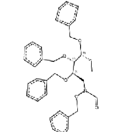 CC[C@@H](OCc1ccccc1)[C@@H](OCc1ccccc1)[C@@H](CN(C=O)OCc1ccccc1)OCc1ccccc1